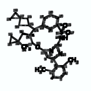 Cc1cccc(C)c1-c1cc2nc(n1)NS(=O)(=O)c1cccc(c1)C(C1CC3(CC3)C1)[C@H](CC1(C(F)(F)F)CC1)CO2